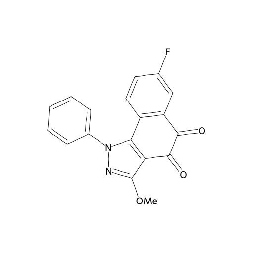 COc1nn(-c2ccccc2)c2c1C(=O)C(=O)c1cc(F)ccc1-2